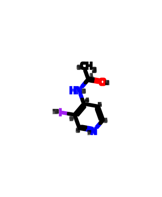 CC(=O)Nc1ccncc1I